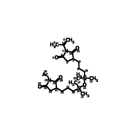 C=C(C)N1C(=O)CC(CCC[Si](C)(C)O[Si](C)(C)CCCC2CC(=O)N(C(C)=O)C2=O)C1=O